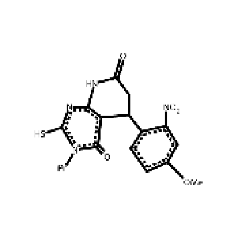 COc1ccc(C2CC(=O)Nc3nc(S)n(C(C)C)c(=O)c32)c([N+](=O)[O-])c1